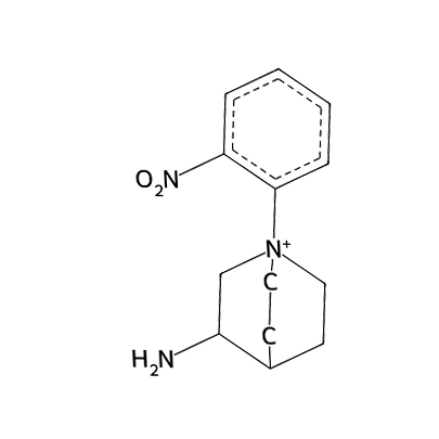 NC1C[N+]2(c3ccccc3[N+](=O)[O-])CCC1CC2